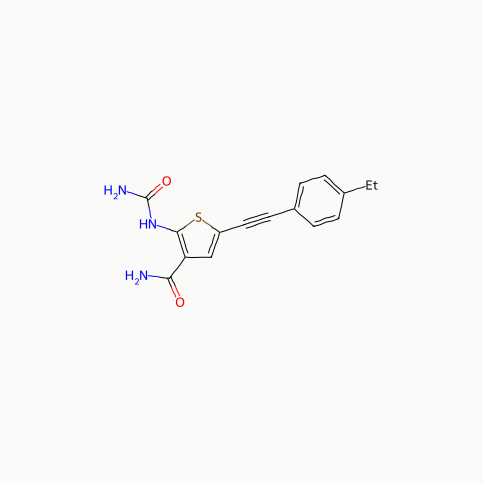 CCc1ccc(C#Cc2cc(C(N)=O)c(NC(N)=O)s2)cc1